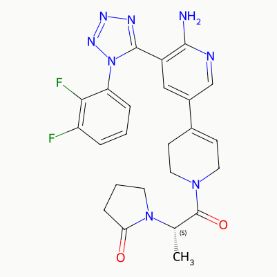 C[C@@H](C(=O)N1CC=C(c2cnc(N)c(-c3nnnn3-c3cccc(F)c3F)c2)CC1)N1CCCC1=O